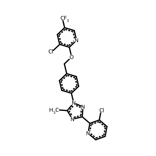 Cc1nc(-c2ncccc2Cl)nn1-c1ccc(COc2ncc(C(F)(F)F)cc2Cl)cc1